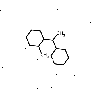 CC1CCCCC1C(C)C1CCCCC1